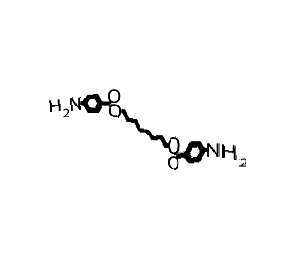 Nc1ccc(C(=O)OCCCCCCCCOC(=O)c2ccc(N)cc2)cc1